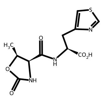 C[C@@H]1OC(=O)N[C@@H]1C(=O)N[C@@H](Cc1cscn1)C(=O)O